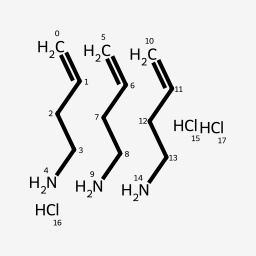 C=CCCN.C=CCCN.C=CCCN.Cl.Cl.Cl